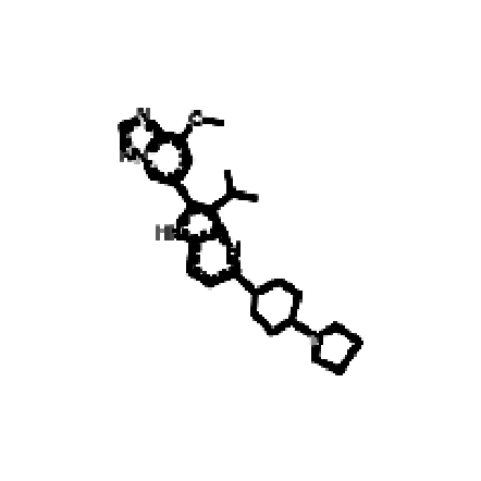 COc1cc(-c2[nH]c3ccc(C4CCC(N5CCCC5)CC4)nc3c2C(C)C)cn2ncnc12